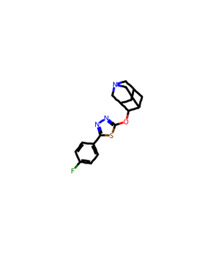 Fc1ccc(-c2nnc(OC3C4CC5CC3CN(C5)C4)s2)cc1